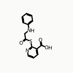 O=C(CNc1ccccc1)Sc1ncccc1C(=O)O